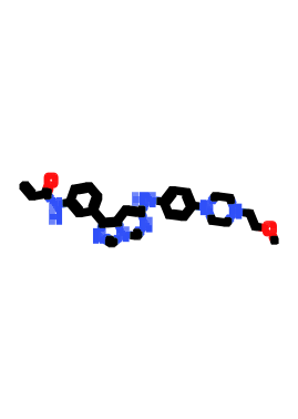 C=CC(=O)Nc1cccc(-c2ncn3cnc(Nc4ccc(N5CCN(CCOC)CC5)cc4)cc23)c1